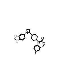 Cc1ccc2c(c1)COC(=O)N2C1CCN(C2=CCN2c2ccc3c(c2)OCO3)CC1